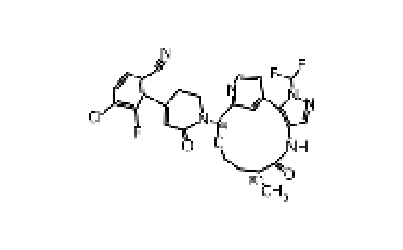 C[C@@H]1CCC[C@H](N2CCC(c3c(C#N)ccc(Cl)c3F)=CC2=O)c2cc(ccn2)-c2c(cnn2C(F)F)NC1=O